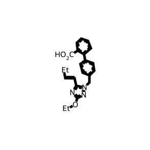 CCC=Cc1nc(OCC)nn1Cc1ccc(-c2ccccc2C(=O)O)cc1